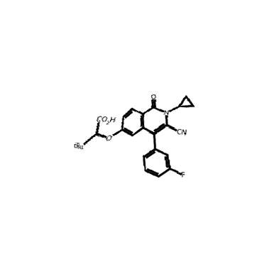 CC(C)(C)C(Oc1ccc2c(=O)n(C3CC3)c(C#N)c(-c3cccc(F)c3)c2c1)C(=O)O